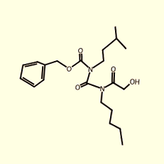 CCCCCN(C(=O)CO)C(=O)N(CCC(C)C)C(=O)OCc1ccccc1